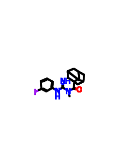 CN(C(=N)Nc1cccc(I)c1)C(=O)C12CC3CC(CC(C3)C1)C2